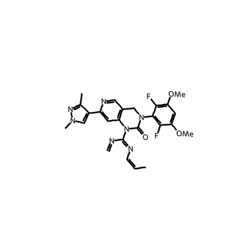 C=N/C(=N\C=C/C)N1C(=O)N(c2c(F)c(OC)cc(OC)c2F)Cc2cnc(-c3cn(C)nc3C)cc21